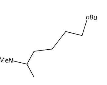 CCCCCCCCC(C)NC